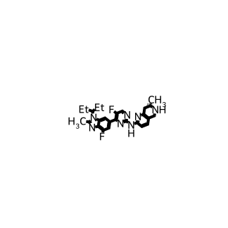 CCC(CC)n1c(C)nc2c(F)cc(-c3nc(Nc4ccc5c(n4)C[C@H](C)NC5)ncc3F)cc21